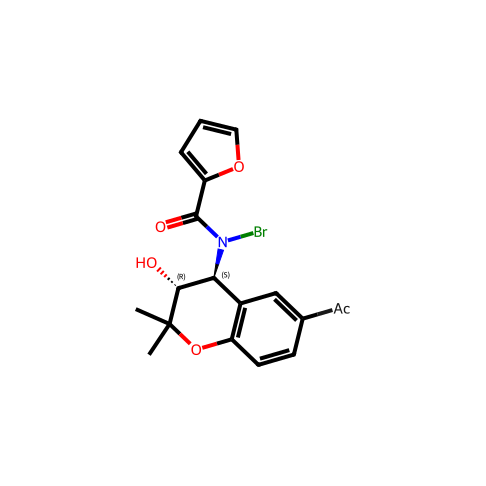 CC(=O)c1ccc2c(c1)[C@H](N(Br)C(=O)c1ccco1)[C@@H](O)C(C)(C)O2